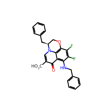 O=C(O)c1cn2c3c(c(F)c(F)c(NCc4ccccc4)c3c1=O)OC[C@@H]2Cc1ccccc1